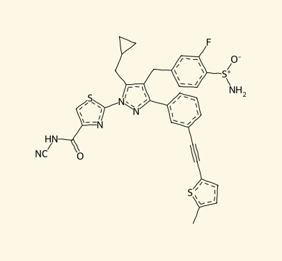 Cc1ccc(C#Cc2cccc(-c3nn(-c4nc(C(=O)NC#N)cs4)c(CC4CC4)c3Cc3ccc([S+](N)[O-])c(F)c3)c2)s1